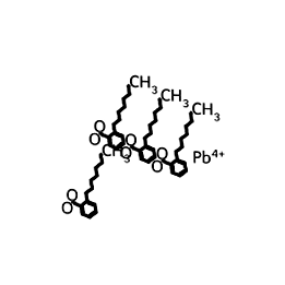 CCCCCCCCc1ccccc1C(=O)[O-].CCCCCCCCc1ccccc1C(=O)[O-].CCCCCCCCc1ccccc1C(=O)[O-].CCCCCCCCc1ccccc1C(=O)[O-].[Pb+4]